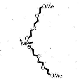 CN=P(C)(OCCOCCOCCOC)OCCOCCOCCOC